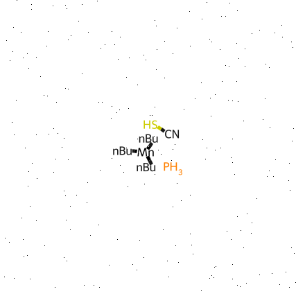 CCC[CH2][Mn]([CH2]CCC)[CH2]CCC.N#CS.P